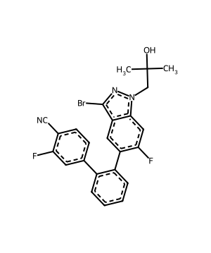 CC(C)(O)Cn1nc(Br)c2cc(-c3ccccc3-c3ccc(C#N)c(F)c3)c(F)cc21